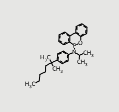 CCCCCC(C)(C)c1ccc(N(C(C)C)P2Oc3ccccc3-c3ccccc32)cc1